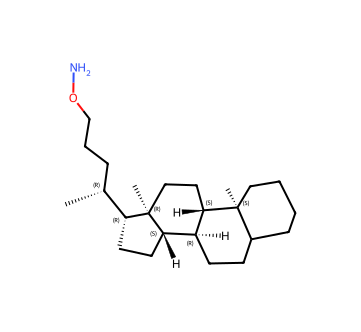 C[C@H](CCCON)[C@H]1CC[C@H]2[C@@H]3CCC4CCCC[C@]4(C)[C@H]3CC[C@]12C